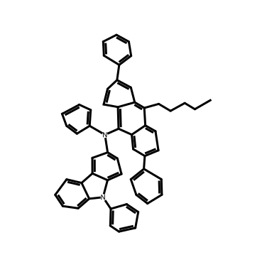 CCCCCc1c2cc(-c3ccccc3)ccc2c(N(c2ccccc2)c2ccc3c(c2)c2ccccc2n3-c2ccccc2)c2cc(-c3ccccc3)ccc12